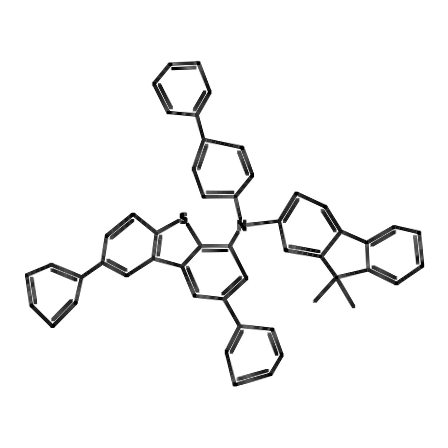 CC1(C)c2ccccc2-c2ccc(N(c3ccc(-c4ccccc4)cc3)c3cc(-c4ccccc4)cc4c3sc3ccc(-c5ccccc5)cc34)cc21